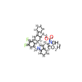 CN(C(=O)OCC1c2ccccc2-c2ccccc21)[C@@H](Cc1cn(Cc2ccc(F)c(F)c2)c2ccccc12)C(=O)O